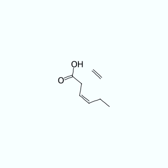 C=C.CC/C=C\CC(=O)O